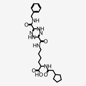 O=C(CC1CCCC1)NC(CCCCNC(=O)C1=NNC(C(=O)NCc2ccccc2)=NN1)C(=O)O